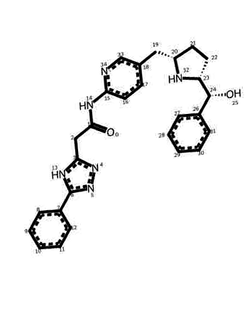 O=C(Cc1nnc(-c2ccccc2)[nH]1)Nc1ccc(C[C@@H]2CC[C@H]([C@H](O)c3ccccc3)N2)cn1